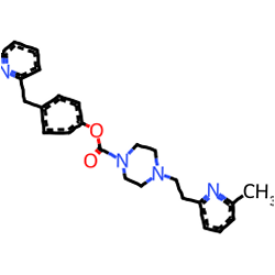 Cc1cccc(CCN2CCN(C(=O)Oc3ccc(Cc4ccccn4)cc3)CC2)n1